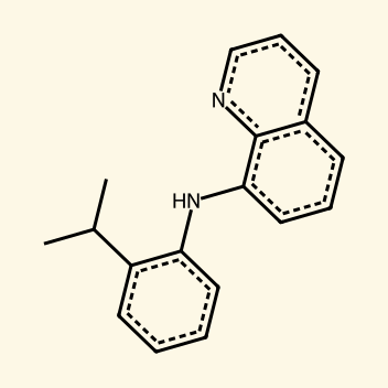 CC(C)c1ccccc1Nc1cccc2cccnc12